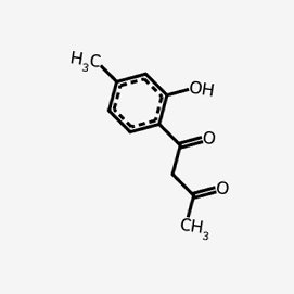 CC(=O)CC(=O)c1ccc(C)cc1O